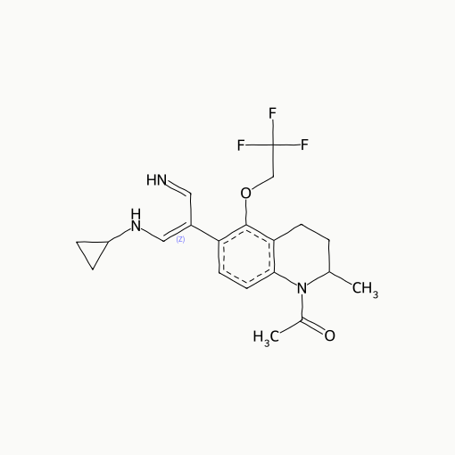 CC(=O)N1c2ccc(/C(C=N)=C/NC3CC3)c(OCC(F)(F)F)c2CCC1C